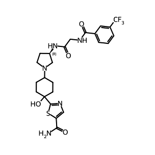 NC(=O)c1cnc(C2(O)CCC(N3CC[C@@H](NC(=O)CNC(=O)c4cccc(C(F)(F)F)c4)C3)CC2)s1